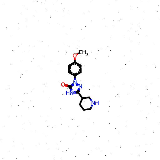 COc1ccc(-n2nc(C3CCCNC3)[nH]c2=O)cc1